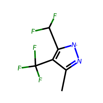 CC1=N[N]C(C(F)F)=C1C(F)(F)F